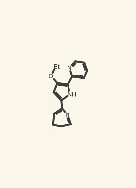 CCOc1cc(C2=CCCC=N2)[nH]c1-c1ccccn1